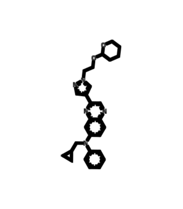 c1ccc(N(CC2CC2)c2ccc3ncc(-c4cnn(CCOC5CCCCO5)c4)nc3c2)cc1